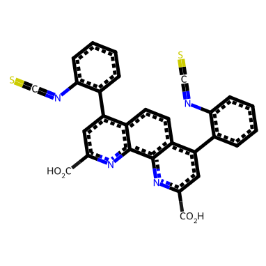 O=C(O)c1cc(-c2ccccc2N=C=S)c2ccc3c(-c4ccccc4N=C=S)cc(C(=O)O)nc3c2n1